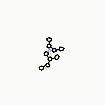 c1ccc(-c2ccc3c(c2)c2cc(-c4ccccc4)ccc2n3-c2cccc3c2sc2c(-c4ccccc4)cc(-c4ccc5sc6ccccc6c5c4)cc23)cc1